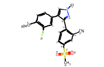 CCn1cc(-c2ccc(OC)c(F)c2)c(-c2ccc(S(C)(=O)=O)cc2C#N)n1